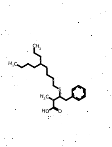 CCCCC(CCC)CCCCSC(Cc1ccccc1)C(C)C(=O)O